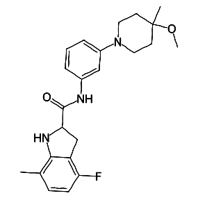 COC1(C)CCN(c2cccc(NC(=O)C3Cc4c(F)ccc(C)c4N3)c2)CC1